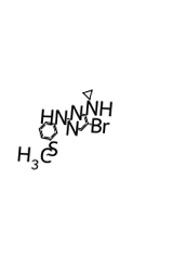 CSc1cccc(Nc2ncc(Br)c(NC3CC3)n2)c1